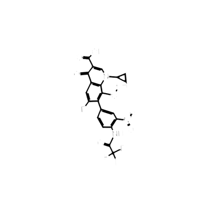 COc1c(-c2ccc(NC(=O)C(F)(F)F)c([N+](=O)[O-])c2)c(F)cc2c(=O)c(C(=O)O)cn(C3CC3)c12